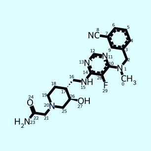 CN(Cc1cccc(C#N)c1)c1ncnc(NC[C@H]2CCN(CC(N)=O)C[C@@H]2O)c1F